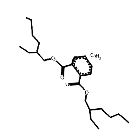 CCCCC(CC)COC(=O)c1ccccc1C(=O)OCC(CC)CCCC.[CaH2]